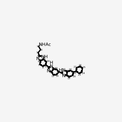 CC(=O)NCCCc1nc2ccc(-c3nc4ccc(-c5nc6ccc(-c7ccccc7)cc6[nH]5)cc4[nH]3)cc2[nH]1